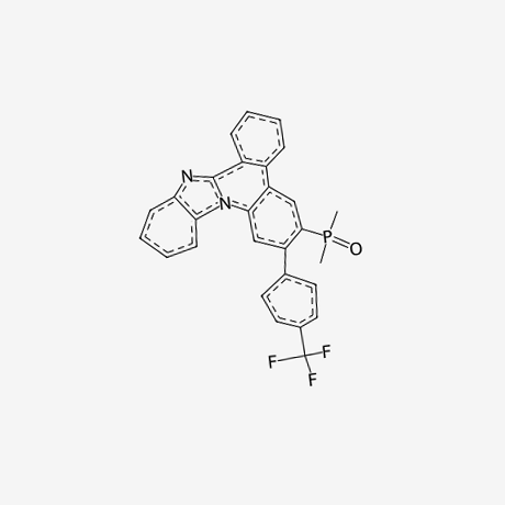 CP(C)(=O)c1cc2c3ccccc3c3nc4ccccc4n3c2cc1-c1ccc(C(F)(F)F)cc1